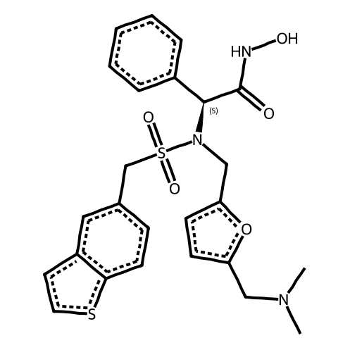 CN(C)Cc1ccc(CN([C@H](C(=O)NO)c2ccccc2)S(=O)(=O)Cc2ccc3sccc3c2)o1